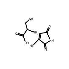 NC(CS)C(=O)O.O=C1C=C(S)C(=O)N1